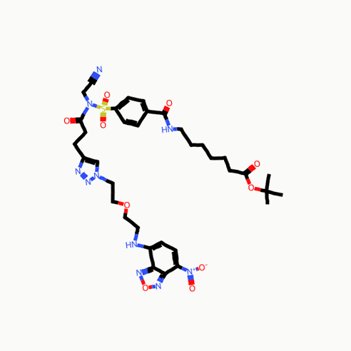 CC(C)(C)OC(=O)CCCCCCNC(=O)c1ccc(S(=O)(=O)N(CC#N)C(=O)CCc2cn(CCOCCNc3ccc([N+](=O)[O-])c4nonc34)nn2)cc1